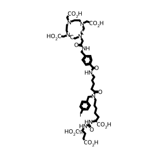 O=C(O)CC[C@@H](NC(=O)N[C@H](CCCCCN(Cc1ccc(I)cc1)C(=O)CCCCNC(=O)c1ccc(CNC(=O)CN2CCN(CC(=O)O)CCN(CC(=O)O)CCN(CC(=O)O)CC2)cc1)C(=O)O)C(=O)O